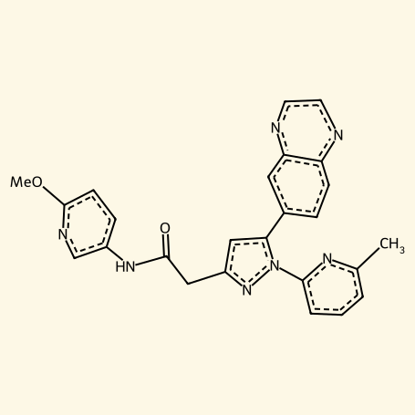 COc1ccc(NC(=O)Cc2cc(-c3ccc4nccnc4c3)n(-c3cccc(C)n3)n2)cn1